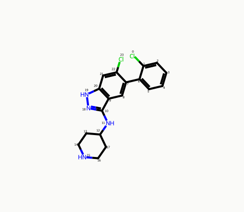 Clc1ccccc1-c1cc2c(NC3CCNCC3)n[nH]c2cc1Cl